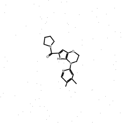 Cc1cnc(N2CCOc3cc(C(=O)N4CCCC4)[nH]c32)cc1C